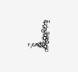 O=C(CN1CCC(CO)CC1)NCc1ccc(C(=O)Nc2ccc(Cl)cc2N2CCN(CCC(F)(F)F)CC2)c(F)c1F